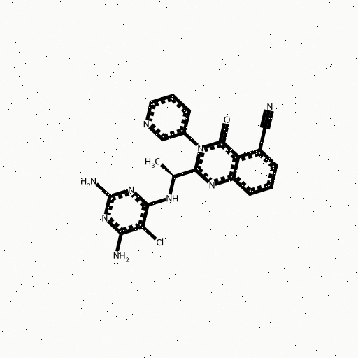 C[C@H](Nc1nc(N)nc(N)c1Cl)c1nc2cccc(C#N)c2c(=O)n1-c1cccnc1